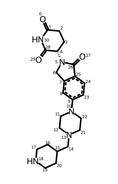 O=C1CC[C@H](N2Cc3cc(N4CCN(CC5CCNCC5)CC4)ccc3C2=O)C(=O)N1